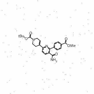 COC(=O)c1ccc(-c2nc(C3=CCN(C(=O)OC(C)(C)C)CC3)ccc2C(N)=O)cc1